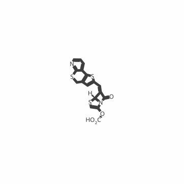 O=C(O)OC1=CS[C@@H]2/C(=C\c3cc4c(s3)-c3cccnc3SC4)C(=O)N12